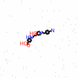 N#Cc1ccc(CCN2CCC(O)(CCCNc3ccc(C(=O)O)cc3)CC2)cc1